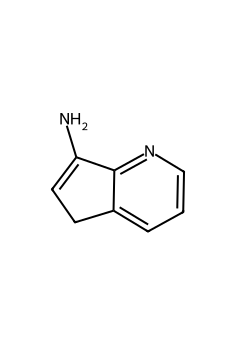 NC1=CCc2cccnc21